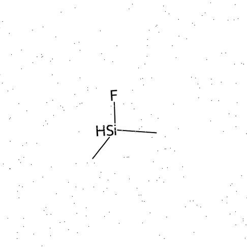 C[SiH](C)F